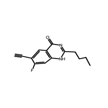 C#Cc1cc2c(=O)nc(CCCC)[nH]c2cc1F